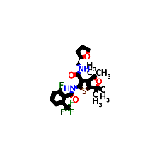 CC1(C)OC(C)(C)c2c1sc(NC(=O)c1c(F)cccc1C(F)(F)F)c2C(=O)NC[C@@H]1CCCO1